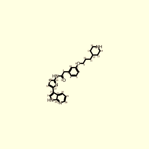 O=C(Cc1cccc(OCCCC2CCNCC2)c1)Nc1nc(-c2c[nH]c3ncccc23)cs1